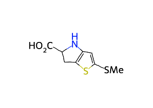 CSc1cc2c(s1)CC(C(=O)O)N2